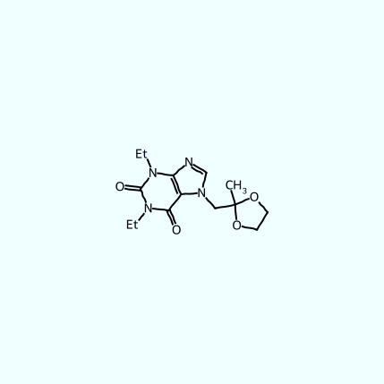 CCn1c(=O)c2c(ncn2CC2(C)OCCO2)n(CC)c1=O